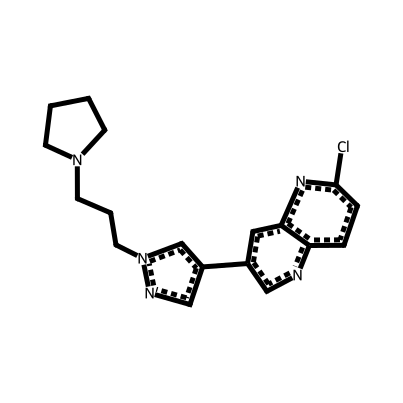 Clc1ccc2ncc(-c3cnn(CCCN4CCCC4)c3)cc2n1